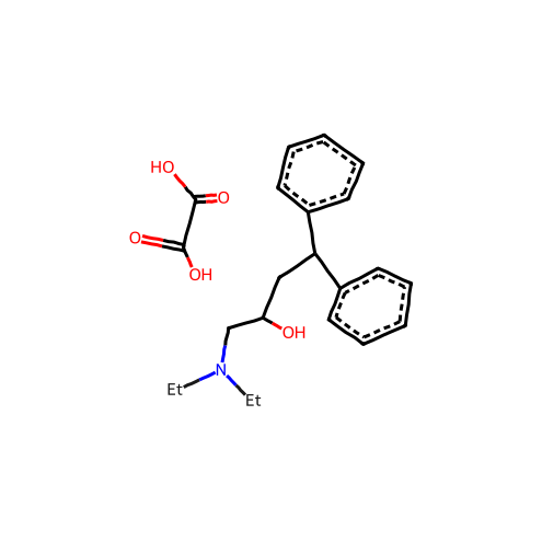 CCN(CC)CC(O)CC(c1ccccc1)c1ccccc1.O=C(O)C(=O)O